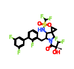 C[C@](O)(C(=O)N1CC2(CC2)[C@H](NS(=O)(=O)C(F)F)[C@@H]1Cc1cccc(-c2cc(F)cc(F)c2)c1F)C(F)F